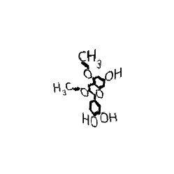 CC=COc1cc(O)cc2c1CC(OC=CC)C(c1ccc(O)c(O)c1)O2